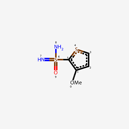 COc1ccsc1S(=N)(N)=O